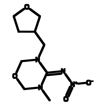 CN1COCN(CC2CCOC2)C1=N[N+](=O)[O-]